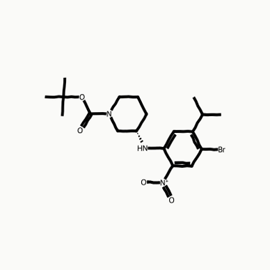 CC(C)c1cc(N[C@H]2CCCN(C(=O)OC(C)(C)C)C2)c([N+](=O)[O-])cc1Br